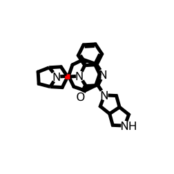 O=c1c(N2CC3CNCC3C2)nc2ccccc2n1C1CC2CCC(C1)N2C1CCCCCCC1